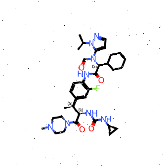 CC(C)n1nccc1N(C=O)[C@H](C(=O)Nc1ccc([C@H](C)[C@@H](NC(=O)NC2CC2)C(=O)N2CCN(C)CC2)cc1F)C1CCCCC1